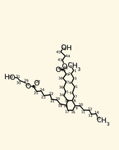 CCCCCCCCC1C(CCCCCC)CCC(CCCCCCCC(=O)OCCCO)C1CCCCCCC(=O)OCCCO